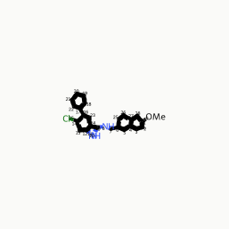 COc1ccc2cc(CNc3n[nH]c4cc(Cl)c(-c5ccccc5)cc34)ccc2c1